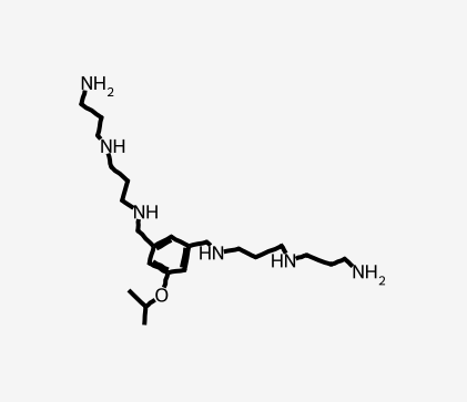 CC(C)Oc1cc(CNCCCNCCCN)cc(CNCCCNCCCN)c1